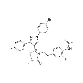 CC(=O)Nc1ccc(CCN2C(=O)[C@H](C)O[C@H]2c2cn(-c3ccc(Br)cc3)nc2-c2ccc(F)cc2)cc1F